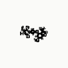 CC[C@@H]1NC(=O)N(C2CC(Oc3cc(OC)cc4c3C3(CC3)CO4)C2)C1=O